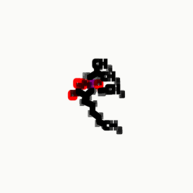 CCCCC/C=C(\CP(=O)(CC(C)C)OCC)C(=O)O